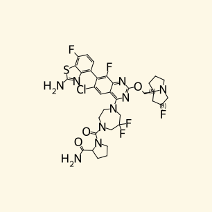 NC(=O)C1CCCN1C(=O)N1CCN(c2nc(OC[C@@]34CCCN3C[C@H](F)C4)nc3c(F)c(-c4ccc(F)c5sc(N)nc45)c(Cl)cc23)CC(F)(F)C1